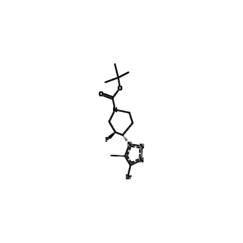 Cc1c(Br)nnn1[C@H]1CCN(C(=O)OC(C)(C)C)C[C@@H]1F